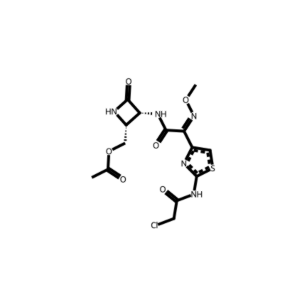 CO/N=C(\C(=O)N[C@H]1C(=O)N[C@H]1COC(C)=O)c1csc(NC(=O)CCl)n1